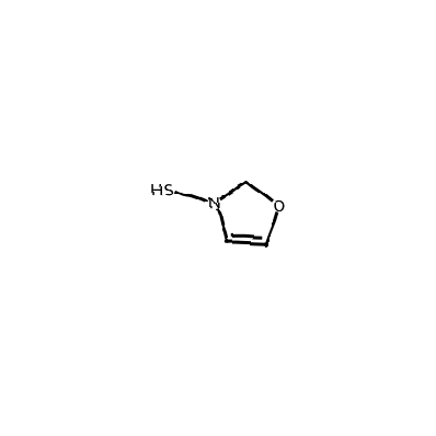 SN1C=COC1